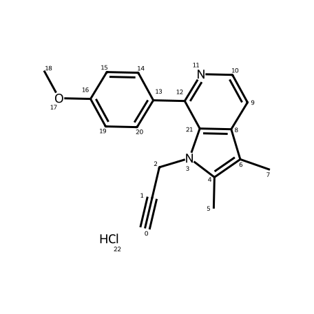 C#CCn1c(C)c(C)c2ccnc(-c3ccc(OC)cc3)c21.Cl